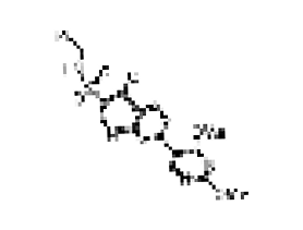 COc1ncc(-c2ccc3c(Cl)c(S(=O)(=O)NCC(C)C)cnc3c2)c(OC)n1